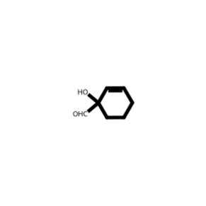 O=CC1(O)C=CCCC1